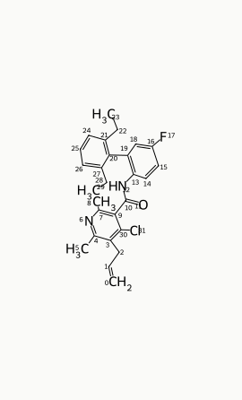 C=CCc1c(C)nc(C)c(C(=O)Nc2ccc(F)cc2-c2c(CC)cccc2CC)c1Cl